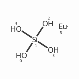 O[Si](O)(O)O.[Eu]